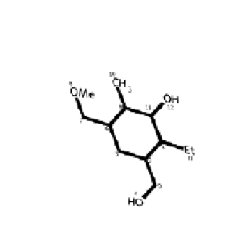 CCC1C(CO)CC(COC)C(C)C1O